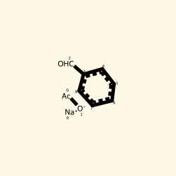 CC(=O)[O-].O=Cc1ccccc1.[Na+]